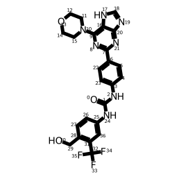 O=C(Nc1ccc(-c2nc(N3CCOCC3)c3[nH]cnc3n2)cc1)Nc1ccc(CO)c(C(F)(F)F)c1